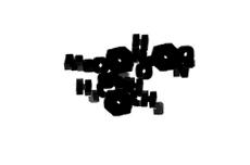 COc1ccc(NC(=O)c2ccc3ocnc3c2)cc1[S+]([O-])Nc1c(C)cccc1C